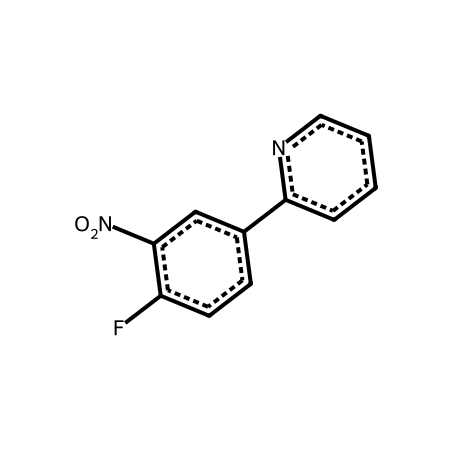 O=[N+]([O-])c1cc(-c2ccccn2)ccc1F